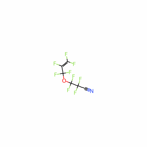 N#CC(F)(F)C(F)(F)OC(F)(F)C(F)=C(F)F